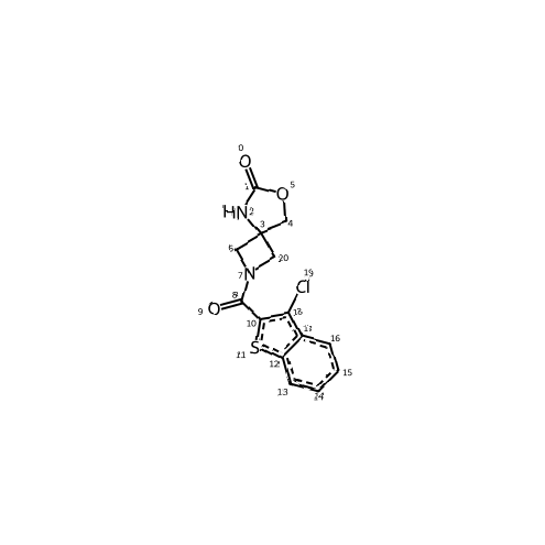 O=C1NC2(CO1)CN(C(=O)c1sc3ccccc3c1Cl)C2